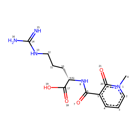 Cn1cccc(C(=O)N[C@@H](CCCNC(=N)N)C(=O)O)c1=O